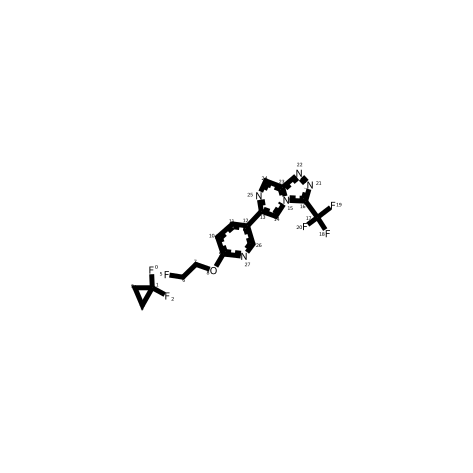 FC1(F)CC1.FCCOc1ccc(-c2cn3c(C(F)(F)F)nnc3cn2)cn1